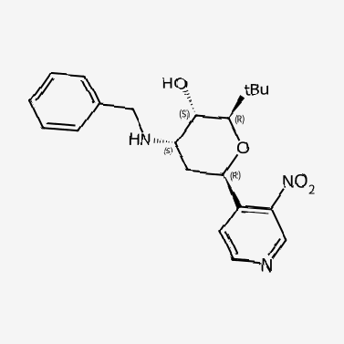 CC(C)(C)[C@H]1O[C@@H](c2ccncc2[N+](=O)[O-])C[C@H](NCc2ccccc2)[C@@H]1O